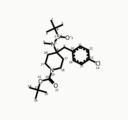 CN([S+]([O-])C(C)(C)C)C1(Cc2ccc(Cl)cc2)CCN(C(=O)OC(C)(C)C)CC1